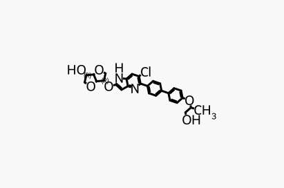 CC(CO)Oc1ccc(-c2ccc(-c3nc4cc(O[C@@H]5COC6C5OC[C@H]6O)[nH]c4cc3Cl)cc2)cc1